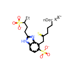 CCCCCCCCCCCCCC(=S)Cc1c(S(=O)(=O)[O-])ccc2[nH]c(CCC(CC)S(=O)(=O)[O-])nc12.[K+].[K+]